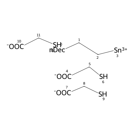 CCCCCCCCCCC[CH2][Sn+3].O=C([O-])CS.O=C([O-])CS.O=C([O-])CS